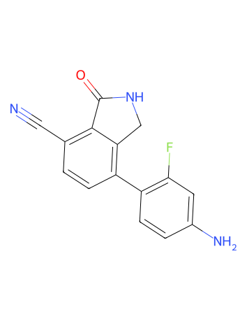 N#Cc1ccc(-c2ccc(N)cc2F)c2c1C(=O)NC2